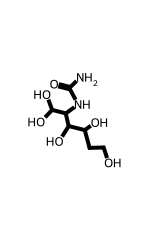 NC(=O)NC(C(O)O)C(O)C(O)CCO